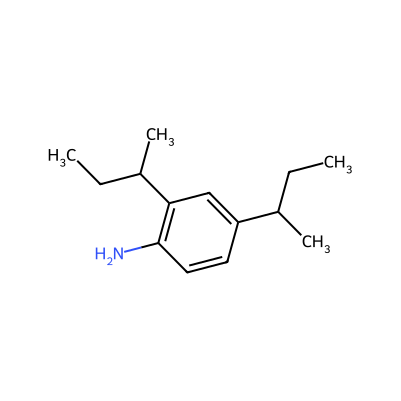 CCC(C)c1ccc(N)c(C(C)CC)c1